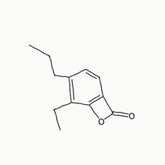 CCCc1ccc2c(c1CC)OC2=O